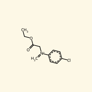 C=[N+](CC(=O)OCC)c1ccc(Cl)cc1